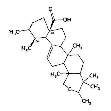 CC1CC[C@]2(C(=O)O)CCC3C(=CCC4C3(C)CCC3C(C)(C)C(C)CCC34C)C2[C@H]1C